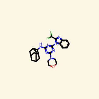 FC(F)c1nc2ccccc2n1-c1nc(NC2C3CC4CC(C3)CC2C4)nc(N2CCOCC2)n1